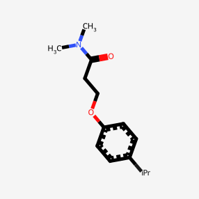 CC(C)c1ccc(OCCC(=O)N(C)C)cc1